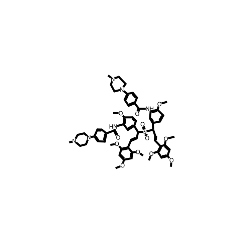 COc1cc(OC)c(C=CC(c2ccc(OC)c(NC(=O)c3ccc(N4CCN(C)CC4)cc3)c2)S(=O)(=O)C(C=Cc2c(OC)cc(OC)cc2OC)c2ccc(OC)c(NC(=O)c3ccc(N4CCN(C)CC4)cc3)c2)c(OC)c1